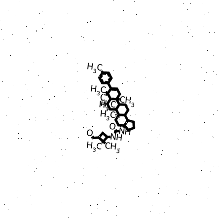 Cc1ccc(C2=CCC3(C)C(CCC4(C)C3CCC3C5CCCC5(NC(=O)NC5CC(C=O)C5(C)C)CC[C@]34C)C2(C)C)cc1